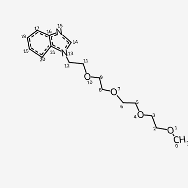 COCCOCCOCCOCCn1cnc2ccccc21